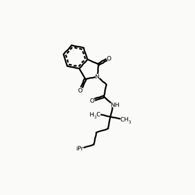 CC(C)CCCC(C)(C)NC(=O)CN1C(=O)c2ccccc2C1=O